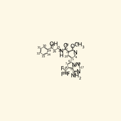 COc1ncc(-c2cc(C(F)(F)F)c3c(N)ncnn23)cc1C(=O)NCCC(O)c1ccccc1